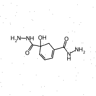 NNC(=O)C1=CC=CC(O)(C(=O)NN)C1